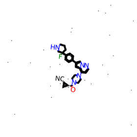 N#CC1C[C@H]1C(=O)N1CCN(c2ccnn3cc(-c4ccc([C@]5(F)CCCNC5)cc4)cc23)CC1